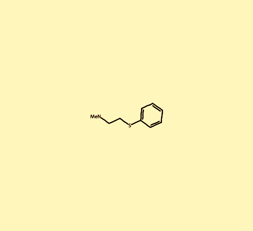 CNCCSc1ccccc1